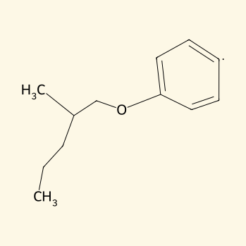 CCCC(C)COc1cc[c]cc1